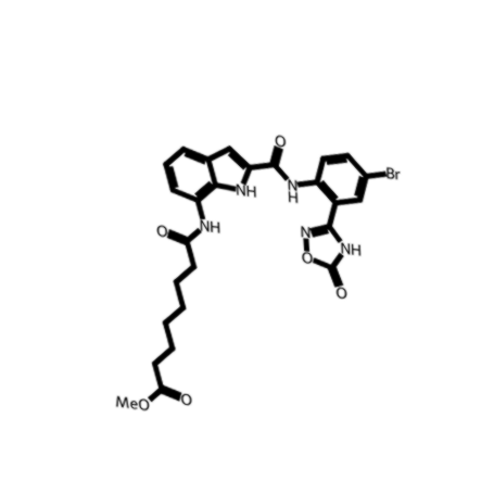 COC(=O)CCCCCCC(=O)Nc1cccc2cc(C(=O)Nc3ccc(Br)cc3-c3noc(=O)[nH]3)[nH]c12